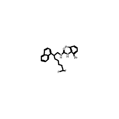 CC(C)c1cccc(C(C)C)c1NC(=O)NCC(CCCCC(F)F)c1cccc2ccccc12